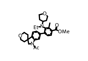 CCN(c1c(-c2ccc3c(c2)N(C(C)=O)CC32CCOCC2)ccc(C(=O)OC)c1C)C1CCOCC1